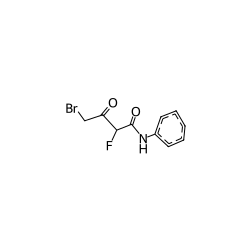 O=C(CBr)C(F)C(=O)Nc1ccccc1